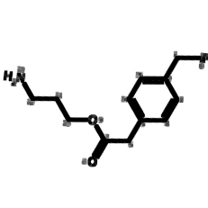 CC(C)Cc1ccc(CC(=O)OCCCN)cc1